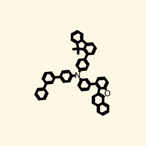 CC1(C)c2ccccc2-c2cccc(-c3ccc(N(c4ccc(-c5cccc(-c6ccccc6)c5)cc4)c4cccc(-c5cccc6oc7c8ccccc8ccc7c56)c4)cc3)c21